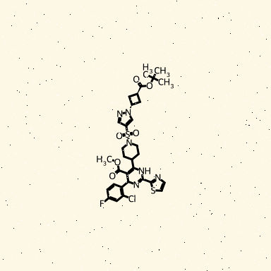 COC(=O)C1=C(C2CCN(S(=O)(=O)c3cnn([C@H]4C[C@H](C(=O)OC(C)(C)C)C4)c3)CC2)NC(c2nccs2)=NC1c1ccc(F)cc1Cl